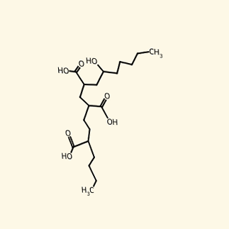 CCCCCC(O)CC(CC(CCC(CCCC)C(=O)O)C(=O)O)C(=O)O